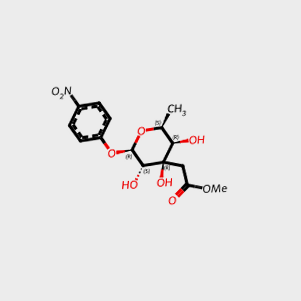 COC(=O)C[C@]1(O)[C@H](O)[C@@H](Oc2ccc([N+](=O)[O-])cc2)O[C@@H](C)[C@H]1O